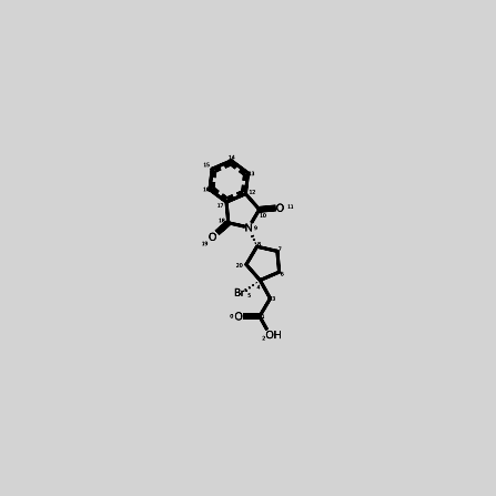 O=C(O)C[C@]1(Br)CC[C@@H](N2C(=O)c3ccccc3C2=O)C1